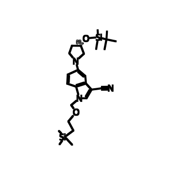 CC(C)(C)[Si](C)(C)O[C@H]1CCN(c2ccc3c(c2)c(C#N)cn3COCC[Si](C)(C)C)C1